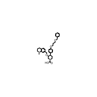 CN1CCCc2ccc(COC3CN(C(=O)O)CCC3c3ccc(OCCCOCc4ccccc4)cc3)cc21